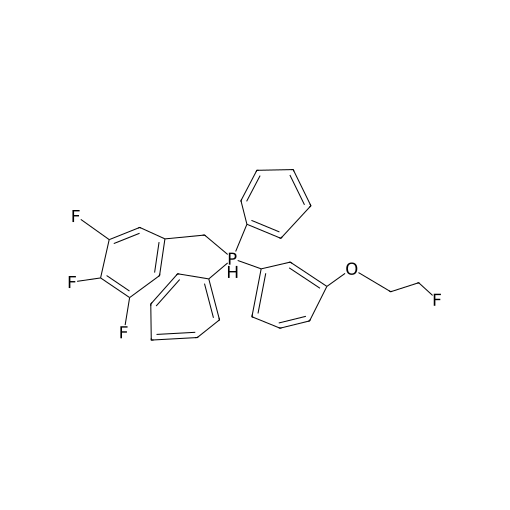 FCCOc1cccc([PH](Cc2cc(F)c(F)c(F)c2)(c2ccccc2)c2ccccc2)c1